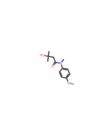 COc1ccc(N(C)C(=O)CC(C)(C)O)cc1